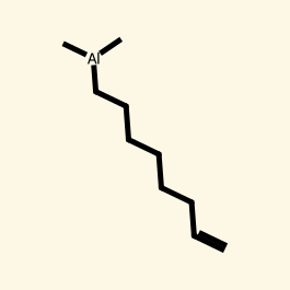 C=CCCCCC[CH2][Al]([CH3])[CH3]